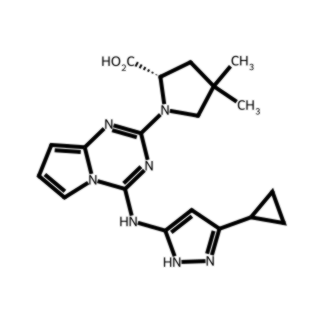 CC1(C)C[C@@H](C(=O)O)N(c2nc(Nc3cc(C4CC4)n[nH]3)n3cccc3n2)C1